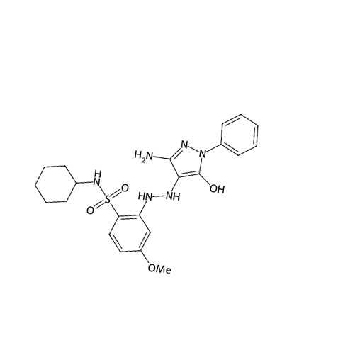 COc1ccc(S(=O)(=O)NC2CCCCC2)c(NNc2c(N)nn(-c3ccccc3)c2O)c1